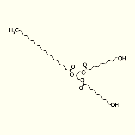 CCCCCCCCCCCCCCCCCC(=O)OC(COC(=O)CCCCCCCCO)COC(=O)CCCCCCCCO